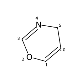 [C]1=COC=NC1